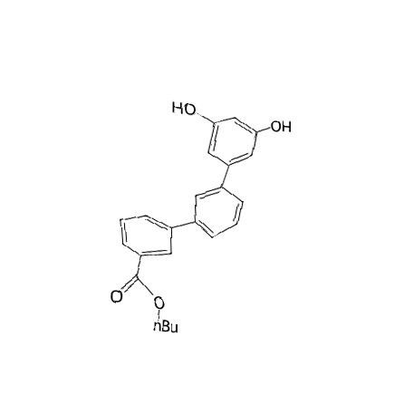 CCCCOC(=O)c1cccc(-c2cccc(-c3cc(O)cc(O)c3)c2)c1